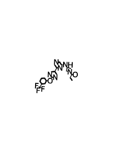 C=CC(=O)N1CC(Nc2cncc(-c3cnc(Oc4cccc(C(F)(F)F)c4)nc3)n2)C1